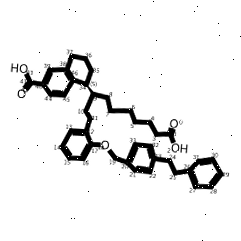 O=C(O)CCCCCCC(CCc1ccccc1OCc1ccc(CCc2ccccc2)cc1)[C@@H]1CCCc2cc(C(=O)O)ccc21